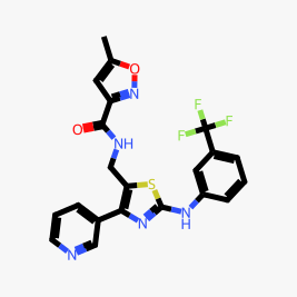 Cc1cc(C(=O)NCc2sc(Nc3cccc(C(F)(F)F)c3)nc2-c2cccnc2)no1